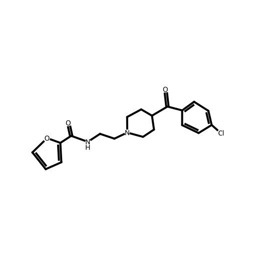 O=C(NCCN1CCC(C(=O)c2ccc(Cl)cc2)CC1)c1ccco1